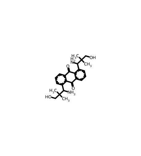 CC(C)(CO)C(N)c1cccc2c1C(=O)c1cccc(C(N)C(C)(C)CO)c1C2=O